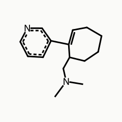 CN(C)CC1CCCCC=C1c1cccnc1